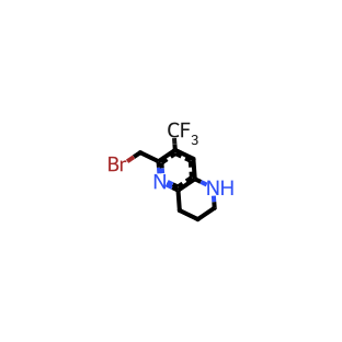 FC(F)(F)c1cc2c(nc1CBr)CCCN2